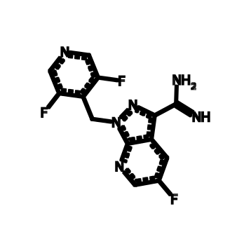 N=C(N)c1nn(Cc2c(F)cncc2F)c2ncc(F)cc12